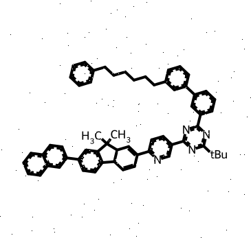 CC(C)(C)c1nc(-c2ccc(C3=CC4C(C=C3)c3ccc(-c5ccc6ccccc6c5)cc3C4(C)C)nc2)nc(-c2cccc(-c3cccc(CCCCCCc4ccccc4)c3)c2)n1